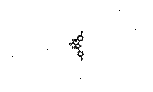 O=C(O)c1[nH]c(-c2ccc(F)cc2)nc1-c1ccc(F)cc1